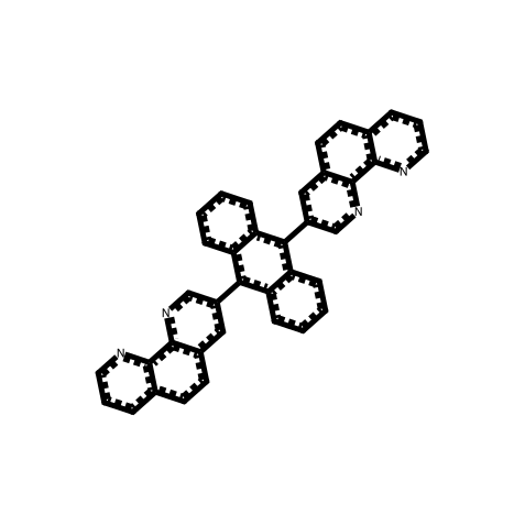 c1cnc2c(c1)ccc1cc(-c3c4ccccc4c(-c4cnc5c(ccc6cccnc65)c4)c4ccccc34)cnc12